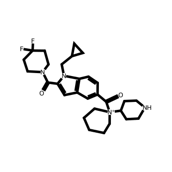 O=C(c1cc2cc(C(=O)[N+]3(C4CCNCC4)CCCCC3)ccc2n1CC1CC1)N1CCC(F)(F)CC1